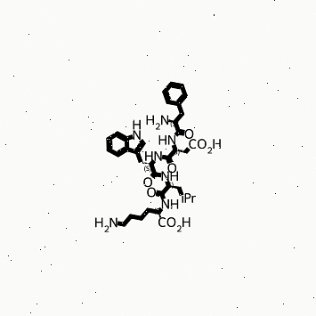 CC(C)C[C@H](NC(=O)[C@H](Cc1c[nH]c2ccccc12)NC(=O)[C@H](CC(=O)O)NC(=O)[C@@H](N)Cc1ccccc1)C(=O)N[C@@H](CCCCN)C(=O)O